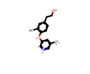 N#Cc1cc(CCO)ccc1Oc1cncc(C(F)(F)F)c1